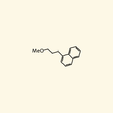 COCC[CH]c1cccc2ccccc12